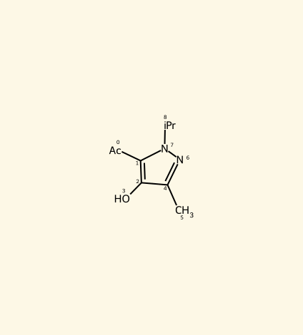 CC(=O)c1c(O)c(C)nn1C(C)C